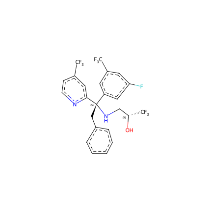 O[C@H](CN[C@@](Cc1ccccc1)(c1cc(F)cc(C(F)(F)F)c1)c1cc(C(F)(F)F)ccn1)C(F)(F)F